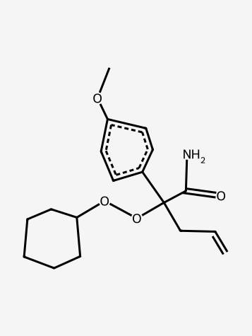 C=CCC(OOC1CCCCC1)(C(N)=O)c1ccc(OC)cc1